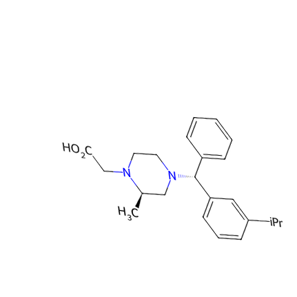 CC(C)c1cccc([C@@H](c2ccccc2)N2CCN(CC(=O)O)[C@H](C)C2)c1